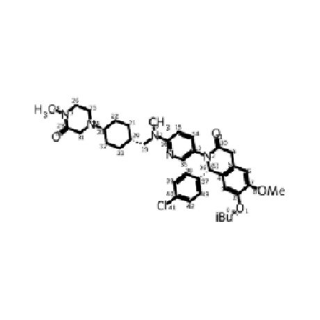 CC[C@@H](C)Oc1cc2c(cc1OC)CC(=O)N(c1ccc(N(C)C[C@H]3CC[C@H](N4CCN(C)C(=O)C4)CC3)nc1)[C@H]2c1ccc(Cl)cc1